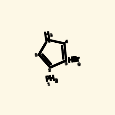 Br.P.c1cc[nH]c1